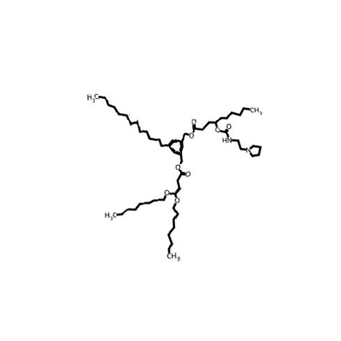 CCCCC[CH]CCCCCCCc1cc(COC(=O)CCC(CCCCCC)OC(=O)NCCN2CCCC2)cc(COC(=O)CCC(OCCCCCCCC)OCCCCCCCC)c1